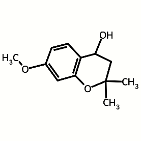 COc1ccc2c(c1)OC(C)(C)CC2O